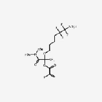 C=C(F)C(=O)OC(OCCCCC(F)(F)C(F)(F)S(=O)(=O)O)(C(=O)N(CCCC)CCCC)C(F)(F)F